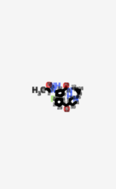 CC1=CN(c2cccc(C(=O)NC[C@@H]3C[C@H]3CN3CCC(C(=O)c4ccc(F)cc4)CC3)c2)NO1